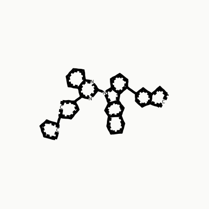 c1ccc(-c2ccc(-c3nc(-n4c5cc6ccccc6cc5c5c(-c6ccc7ccccc7c6)cccc54)nc4ccccc34)cc2)cc1